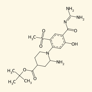 CC(C)(C)OC(=O)C1CCN(c2cc(O)c(C(=O)N=C(N)N)cc2S(C)(=O)=O)C(N)C1